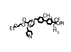 CCOCCOC(=O)C1CN(Cc2ccc(-c3ccc(C(C)(O)C(F)(F)F)cc3)c(C)c2)CCN1Cc1ccncc1